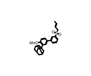 CC=CCS(=O)(=O)c1cccc(-c2ccc(OC)c(C34CC5CC(CC(C5)C3)C4)c2)c1